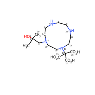 CC(O)(CN1CCNCCNCCN(C(C(=O)O)(C(=O)O)C(=O)O)CC1)C(F)(F)F